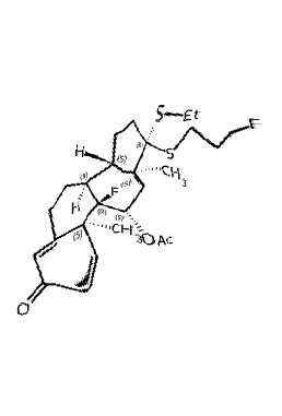 CCS[C@@]1(SCCF)CC[C@H]2[C@@H]3CCC4=CC(=O)C=C[C@]4(C)[C@@]3(F)[C@@H](OC(C)=O)C[C@@]21C